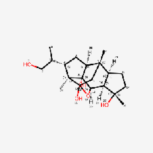 CC(CO)[C@@H]1C[C@H]2[C@@]3(C)CC4(O)O[C@H]([C@H]5[C@@H]3CC[C@]5(C)O)[C@@]2(O)[C@]14C